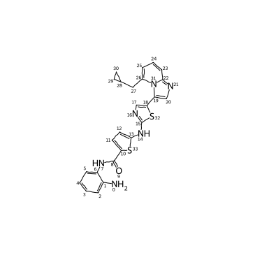 Nc1ccccc1NC(=O)c1ccc(Nc2ncc(-c3cnc4cccc(CC5CC5)n34)s2)s1